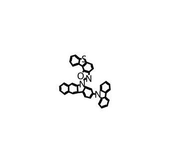 c1ccc2cc3c(cc2c1)c1ccc(-n2c4ccccc4c4ccccc42)cc1n3-c1nc2ccc3sc4ccccc4c3c2o1